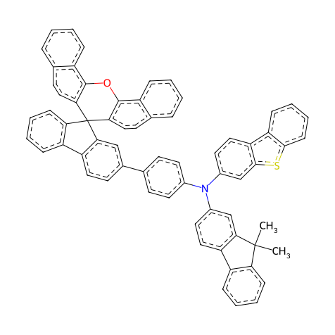 CC1(C)c2ccccc2-c2ccc(N(c3ccc(-c4ccc5c(c4)C4(c6ccccc6-5)c5ccc6ccccc6c5Oc5c4ccc4ccccc54)cc3)c3ccc4c(c3)sc3ccccc34)cc21